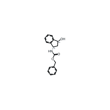 O=C(N[C@H]1C[C@H](O)c2ccccc21)OCc1ccccc1